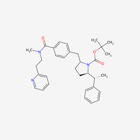 C[C@H](c1ccccc1)[C@H]1CCC(Cc2ccc(C(=O)N(C)CCc3ccccn3)cc2)N1C(=O)OC(C)(C)C